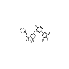 O=C(O)N(CCN1CCOCC1)c1cccc(Cn2nc(-c3cc(F)c(F)c(F)c3)ccc2=O)c1